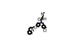 CN(C)CCNC(=O)/C(=C/c1ccc(Cl)cc1)c1ccc(OCc2ccc3ccccc3n2)cc1